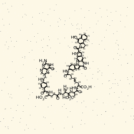 Nc1nc2ncc(CNc3ccc(C(=O)NC(CCC(=O)NCC(N)C(=O)NC(CC(=O)O)C(=O)NC(CSSCCC(=O)Nc4ccc5[nH]c(C(=O)Nc6ccc7[nH]c(C(=O)N8CCc9c8cc(O)c8ccccc98)cc7c6)cc5c4)C(=O)O)C(=O)O)cc3)nc2c(=O)[nH]1